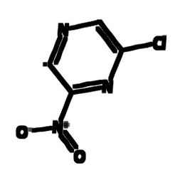 O=[N+]([O-])c1[c]ncc(Cl)n1